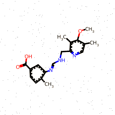 COc1c(C)cnc(CN/C=N/c2cc(C(=O)O)ccc2C)c1C